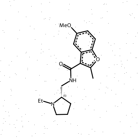 CCN1CCC[C@H]1CNC(=O)c1c(C)oc2ccc(OC)cc12